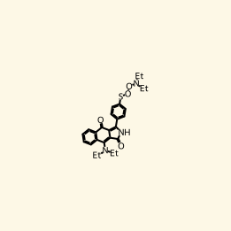 CCN(CC)OOSc1ccc(C2=C3C(=O)c4ccccc4C(N(CC)CC)=C3C(=O)N2)cc1